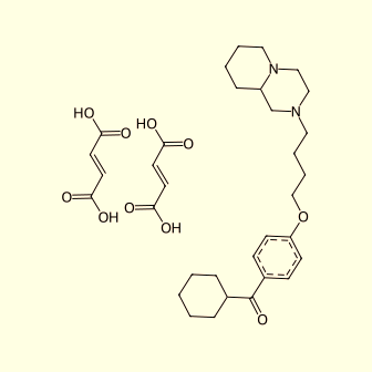 O=C(O)C=CC(=O)O.O=C(O)C=CC(=O)O.O=C(c1ccc(OCCCCN2CCN3CCCCC3C2)cc1)C1CCCCC1